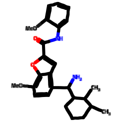 COc1ccccc1NC(=O)c1cc2c(C(N)C3CCCC(C)C3C)ccc(OC)c2o1